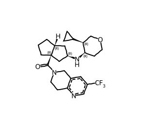 O=C(N1CCc2ncc(C(F)(F)F)cc2C1)[C@@]12CCC[C@@H]1C[C@@H](N[C@@H]1CCOC[C@@H]1C1CC1)C2